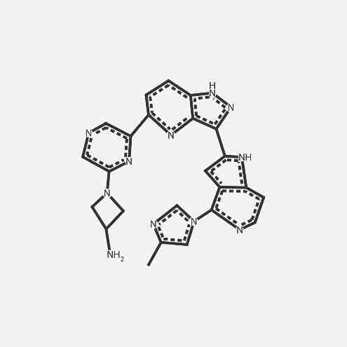 Cc1cn(-c2nccc3[nH]c(-c4n[nH]c5ccc(-c6cncc(N7CC(N)C7)n6)nc45)cc23)cn1